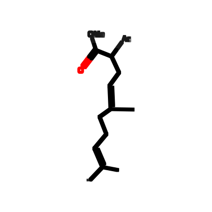 [CH2]/C(C)=C/CC/C(C)=C/CC(C(C)=O)C(=O)OC